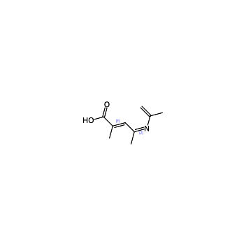 C=C(C)/N=C(C)\C=C(/C)C(=O)O